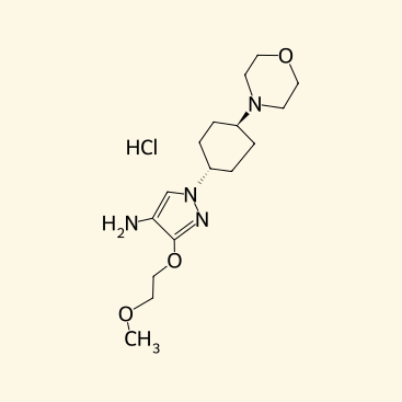 COCCOc1nn([C@H]2CC[C@H](N3CCOCC3)CC2)cc1N.Cl